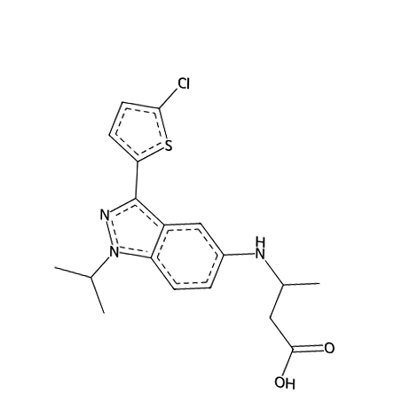 CC(CC(=O)O)Nc1ccc2c(c1)c(-c1ccc(Cl)s1)nn2C(C)C